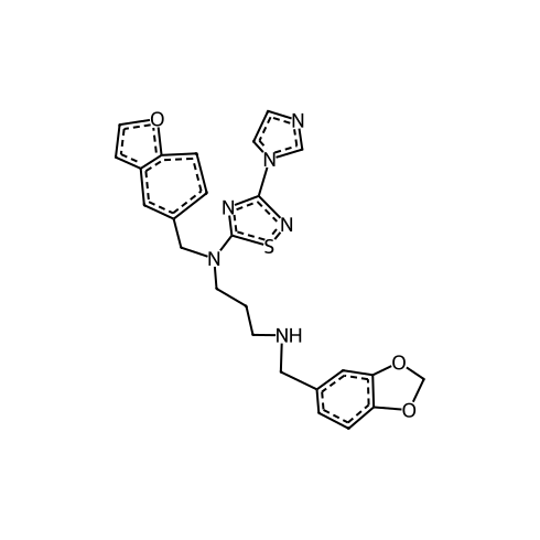 c1cn(-c2nsc(N(CCCNCc3ccc4c(c3)OCO4)Cc3ccc4occc4c3)n2)cn1